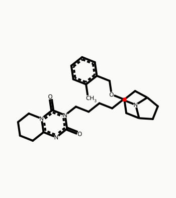 Cc1ccccc1COC1CC2CCC(C1)N2CCCCCn1c(=O)nc2n(c1=O)CCCC2